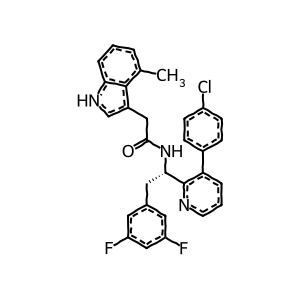 Cc1cccc2[nH]cc(CC(=O)N[C@@H](Cc3cc(F)cc(F)c3)c3ncccc3-c3ccc(Cl)cc3)c12